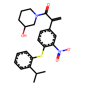 C=C(C(=O)N1CCCC(O)C1)c1ccc(Sc2ccccc2C(C)C)c([N+](=O)[O-])c1